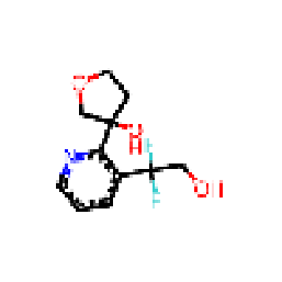 OCC(F)(F)c1cccnc1C1(O)CCOC1